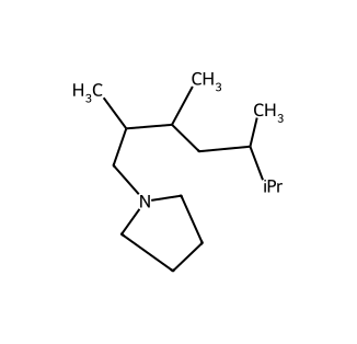 CC(C)C(C)CC(C)C(C)CN1CCCC1